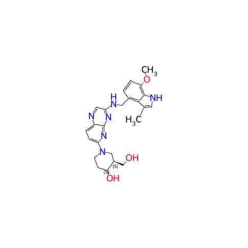 COc1ccc(CNc2cnc3ccc(N4CC[C@H](O)[C@H](CO)C4)nc3n2)c2c(C)c[nH]c12